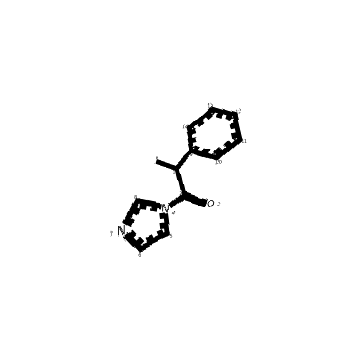 CC(C(=O)n1ccnc1)c1ccccc1